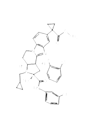 COC(=O)C1(c2ccc3c(c2)nc2n3CC[C@H]3[C@@H]2[C@H](c2cccc(Cl)c2F)[C@](C)(C(=O)Nc2cccc(Cl)c2)N3CC2CC2)CC1